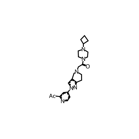 CC(=O)c1cc(-n2cc3c(n2)CCN(CC(=O)N2CCN(C4CCC4)CC2)C3)ccn1